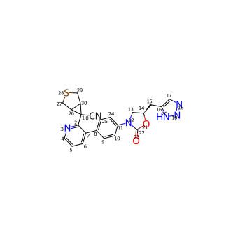 N#CC1(c2ncccc2-c2ccc(N3C[C@@H](Cc4cnn[nH]4)OC3=O)cc2)C2CSCC21